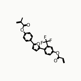 C=CC(=O)Oc1ccc(-c2ccc(-c3ccc(OC(=O)C(=C)C)cc3)o2)c(C(F)(F)F)c1